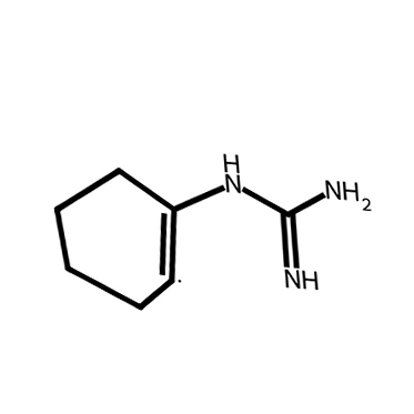 N=C(N)NC1=[C]CCCC1